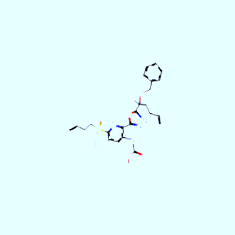 C=CCCC(OCc1ccccc1)(c1nnc(-c2nc(S(=O)(=O)CCC=C)c(C(F)(F)F)cc2NC(=O)OC(C)(C)C)o1)C(F)(F)F